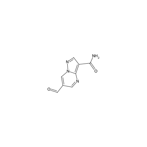 NC(=O)c1cnn2cc(C=O)cnc12